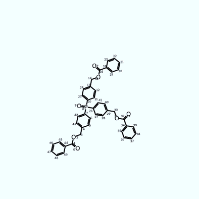 O=C(OCc1ccc(P(=O)(c2ccc(COC(=O)c3ccccc3)cc2)c2ccc(COC(=O)c3ccccc3)cc2)cc1)c1ccccc1